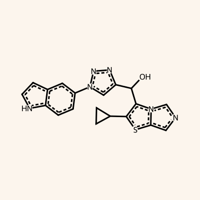 OC(c1cn(-c2ccc3[nH]ccc3c2)nn1)c1c(C2CC2)sc2cncn12